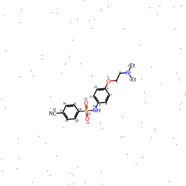 CCN(CC)CCOc1ccc(NS(=O)(=O)c2ccc(C#N)cc2)cc1